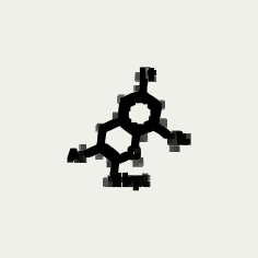 CCCCCCCC1=C(C(C)=O)Cc2cc(CC)cc(C(C)(C)C)c2O1